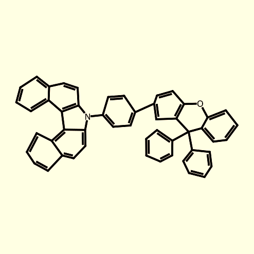 c1ccc(C2(c3ccccc3)c3ccccc3Oc3ccc(-c4ccc(-n5c6ccc7ccccc7c6c6c7ccccc7ccc65)cc4)cc32)cc1